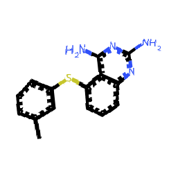 Cc1cccc(Sc2cccc3nc(N)nc(N)c23)c1